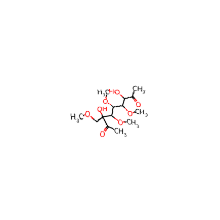 COCC(O)(C(C)=O)C(OC)C(OC)C(OC)C(O)C(C)=O